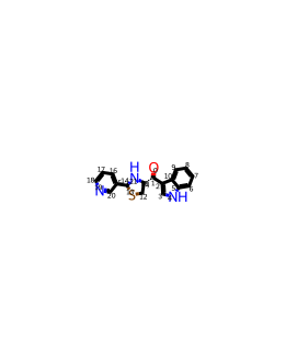 O=C(c1c[nH]c2ccccc12)[C@@H]1CSC(c2cccnc2)N1